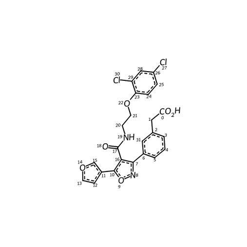 O=C(O)Cc1cccc(-c2noc(-c3ccoc3)c2C(=O)NCCOc2ccc(Cl)cc2Cl)c1